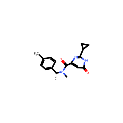 C[C@H](c1ccc(C(F)(F)F)cc1)N(C)C(=O)c1cc(=O)[nH]c(C2CC2)n1